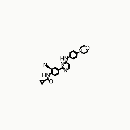 N#Cc1cc(-c2nccc(Nc3ccc(N4CCOCC4)cc3)n2)ccc1NC(=O)C1CC1